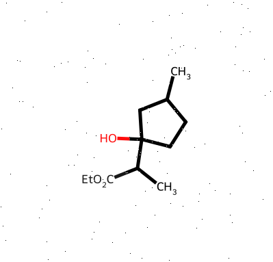 CCOC(=O)C(C)C1(O)CCC(C)C1